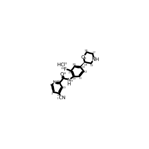 Cl.N#Cc1ccnc(C(=O)Nc2ccc([C@@H]3CNCCO3)cc2F)c1